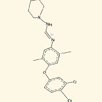 Cc1cc(Oc2ccc(Cl)c(Cl)c2)c(C)cc1/N=C/NN1CCCCC1